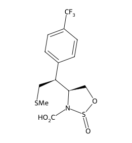 CSC[C@@H](c1ccc(C(F)(F)F)cc1)[C@H]1COS(=O)N1C(=O)O